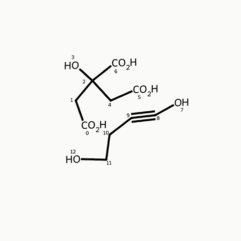 O=C(O)CC(O)(CC(=O)O)C(=O)O.OC#CCCO